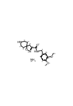 COc1ccc(CNC(=O)C2=NOC3(CCNCC3)C2)cc1OC.N